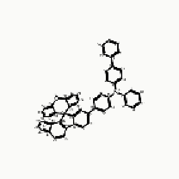 c1ccc(-c2ccc(N(c3ccccc3)c3ccc(-c4ccc5c(c4)C4(c6ccccc6Oc6ccccc64)c4c-5ccc5ccccc45)cc3)cc2)cc1